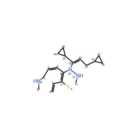 C=C/C(F)=C(\C=C/CNC)N(NC)/C(=C\CC1CC1)C1CC1